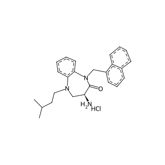 CC(C)CCN1C[C@H](N)C(=O)N(Cc2cccc3ccccc23)c2ccccc21.Cl